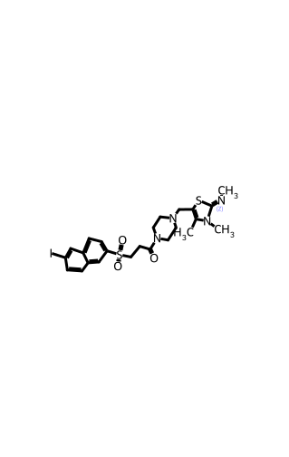 C/N=c1\sc(CN2CCN(C(=O)CCS(=O)(=O)c3ccc4cc(I)ccc4c3)CC2)c(C)n1C